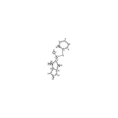 [O-][S+](Cc1ccccn1)c1nc2cscc2[nH]1